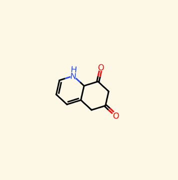 O=C1CC(=O)C2NC=CC=C2C1